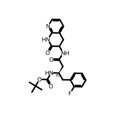 CC(C)(C)OC(=O)N[C@@H](CC(=O)NC1Cc2cccnc2NC1=O)Cc1ccccc1F